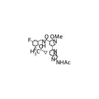 COc1ncc(-c2ccc3nc(NC(C)=O)cn3n2)cc1C(=O)NCc1cc(F)cc(F)c1OC(C)C1CC1